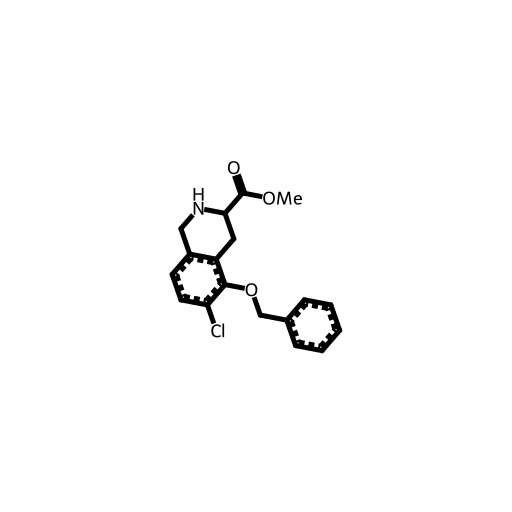 COC(=O)C1Cc2c(ccc(Cl)c2OCc2ccccc2)CN1